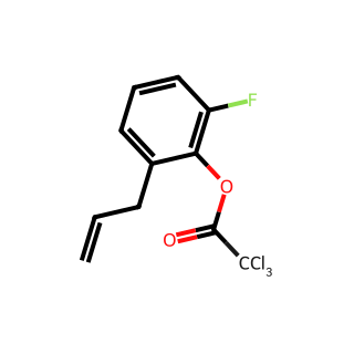 C=CCc1cccc(F)c1OC(=O)C(Cl)(Cl)Cl